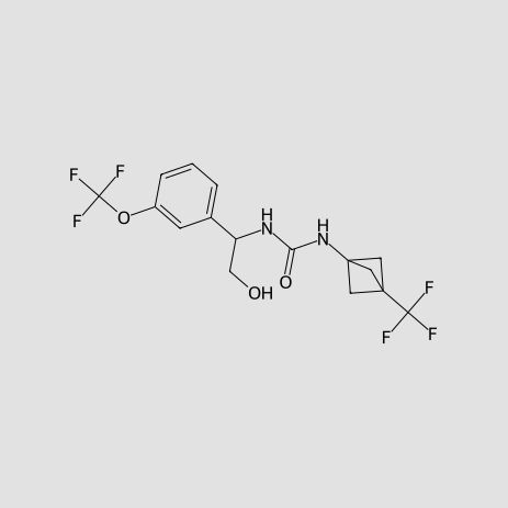 O=C(NC(CO)c1cccc(OC(F)(F)F)c1)NC12CC(C(F)(F)F)(C1)C2